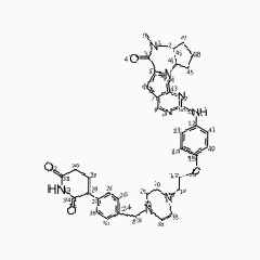 CN(C)C(=O)c1cc2cnc(Nc3ccc(OCCN4CCN(Cc5ccc(C6CCC(=O)NC6=O)cc5)CC4)cc3)nc2n1C1CCCC1